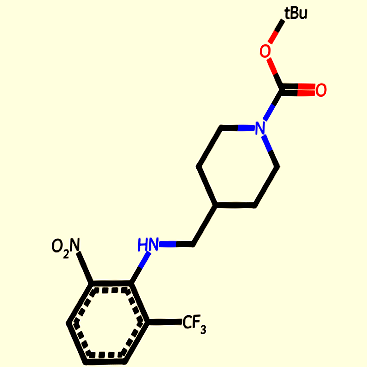 CC(C)(C)OC(=O)N1CCC(CNc2c([N+](=O)[O-])cccc2C(F)(F)F)CC1